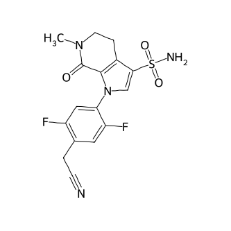 CN1CCc2c(S(N)(=O)=O)cn(-c3cc(F)c(CC#N)cc3F)c2C1=O